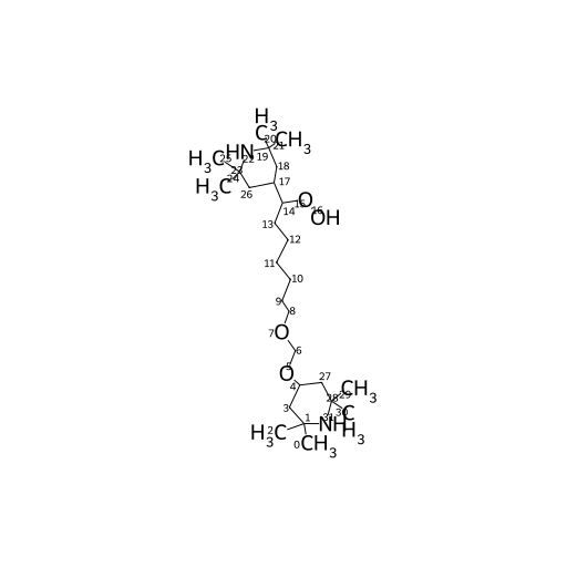 CC1(C)CC(OCOCCCCCCC(OO)C2CC(C)(C)NC(C)(C)C2)CC(C)(C)N1